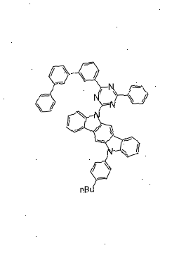 CCCCc1ccc(-n2c3ccccc3c3cc4c(cc32)c2ccccc2n4-c2nc(-c3ccccc3)nc(-c3cccc(-c4cccc(-c5ccccc5)c4)c3)n2)cc1